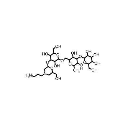 CC1OC(COC2OC(CO)C(O)C(OC3CN(CCCN)CC(CO)O3)C2O)C(O)C(OC2OC(CO)C(O)C(O)C2O)C1O